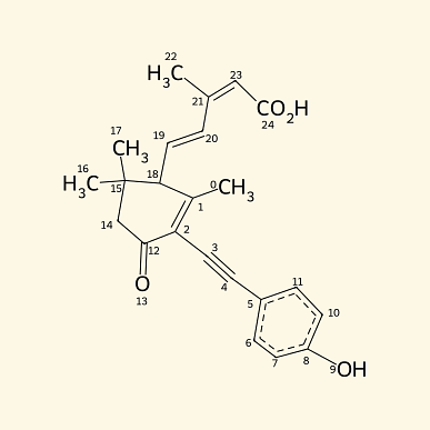 CC1=C(C#Cc2ccc(O)cc2)C(=O)CC(C)(C)C1/C=C/C(C)=C\C(=O)O